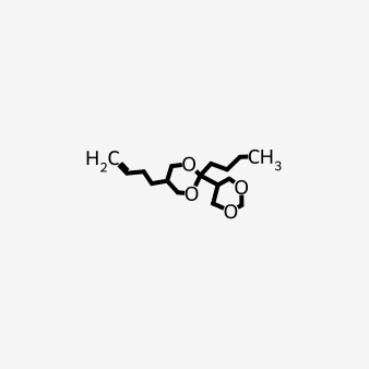 C=CCCC1COC(CCCC)(C2COCOC2)OC1